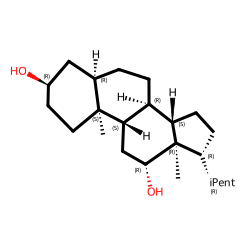 CCC[C@@H](C)[C@H]1CC[C@H]2[C@@H]3CC[C@@H]4C[C@H](O)CC[C@]4(C)[C@H]3C[C@@H](O)[C@]12C